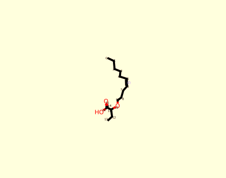 CCCCC/C=C\CCCOC(CC)C(=O)O